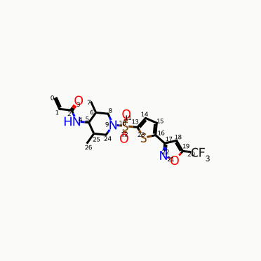 C=CC(=O)NC1C(C)CN(S(=O)(=O)c2ccc(-c3cc(C(F)(F)F)on3)s2)CC1C